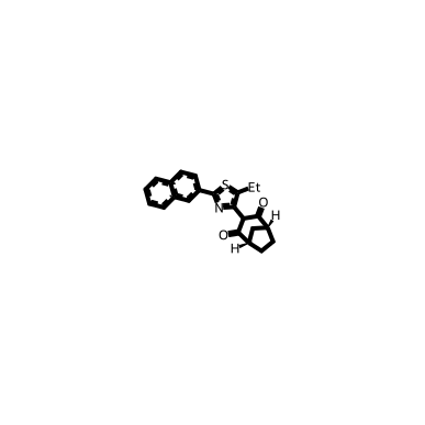 CCc1sc(-c2ccc3ccccc3c2)nc1C1C(=O)[C@@H]2CC[C@@H](C2)C1=O